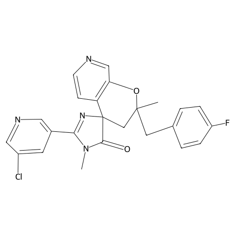 CN1C(=O)C2(CC(C)(Cc3ccc(F)cc3)Oc3cnccc32)N=C1c1cncc(Cl)c1